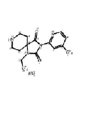 Cl.O=C1N(c2cc(C(F)(F)F)ccn2)C(=O)C2(CCNCC2)N1CC(F)(F)F